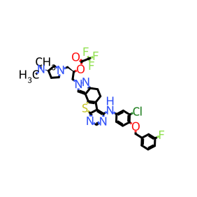 CN(C)[C@H]1CCN(C[C@H](Cn2cc3c(n2)CCc2c-3sc3ncnc(Nc4ccc(OCc5cccc(F)c5)c(Cl)c4)c23)OC(=O)C(F)(F)F)C1